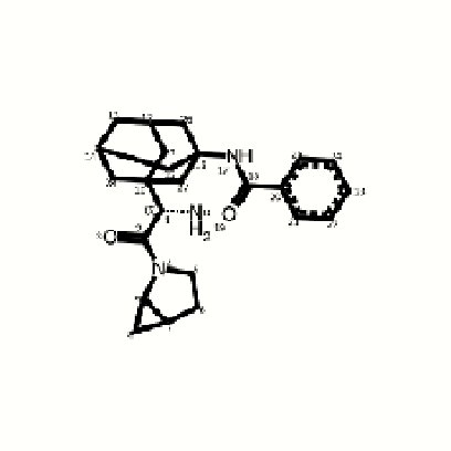 N[C@H](C(=O)N1CCC2CC21)C12CC3CC(CC(NC(=O)c4ccccc4)(C3)C1)C2